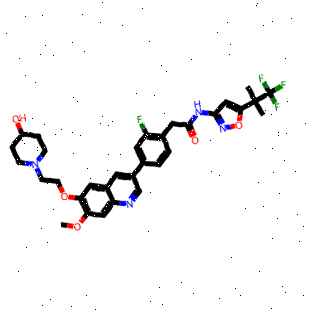 COc1cc2ncc(-c3ccc(CC(=O)Nc4cc(C(C)(C)C(F)(F)F)on4)c(F)c3)cc2cc1OCCN1CCC(O)CC1